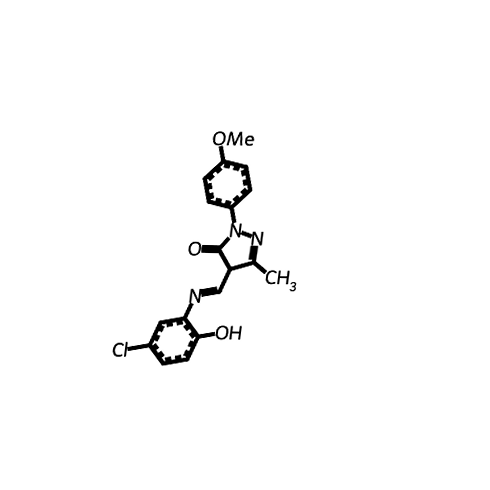 COc1ccc(N2N=C(C)C(/C=N/c3cc(Cl)ccc3O)C2=O)cc1